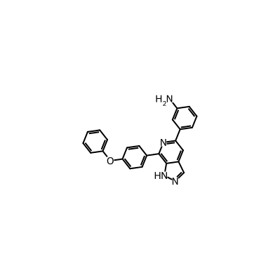 Nc1cccc(-c2cc3cn[nH]c3c(-c3ccc(Oc4ccccc4)cc3)n2)c1